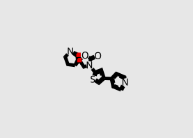 O=C1OC2(CN3CCC2CC3)CN1c1cc(-c2ccncc2)cs1